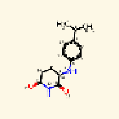 CC(C)c1ccc(N[C@@H]2CCC(=O)NC2=O)cc1